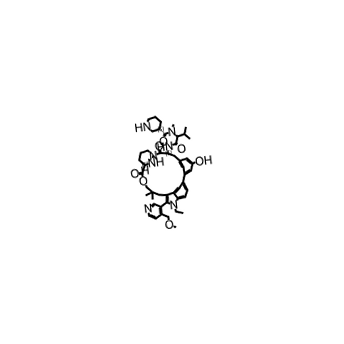 CCn1c(-c2cnccc2COC)c2c3cc(ccc31)-c1cc(O)cc(c1)C[C@H](NC(=O)C(C(C)C)N(C)C(=O)[C@H]1CCCNC1)C(=O)N1CCC[C@H](N1)C(=O)OCC(C)(C)C2